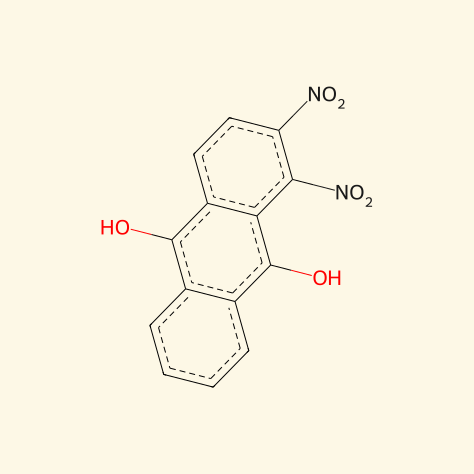 O=[N+]([O-])c1ccc2c(O)c3ccccc3c(O)c2c1[N+](=O)[O-]